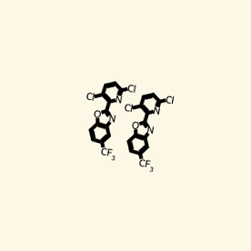 FC(F)(F)c1ccc2oc(-c3nc(Cl)ccc3Cl)nc2c1.FC(F)(F)c1ccc2oc(-c3nc(Cl)ccc3Cl)nc2c1